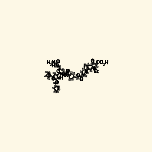 CCn1cc(C(=O)O)c(=O)c2cc(F)c(N3CCN(C(=O)OCc4ccc(NC(=O)[C@H](CCCNC(N)=O)NC(=O)[C@H](CCc5cccs5)NC(=O)OCc5ccccc5)cc4)CC3)cc21